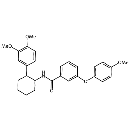 COc1ccc(Oc2cccc(C(=O)NC3CCCCC3c3ccc(OC)c(OC)c3)c2)cc1